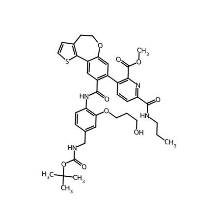 CCCNC(=O)c1ccc(-c2cc3c(cc2C(=O)Nc2ccc(CNC(=O)OC(C)(C)C)cc2OCCCO)-c2sccc2CCO3)c(C(=O)OC)n1